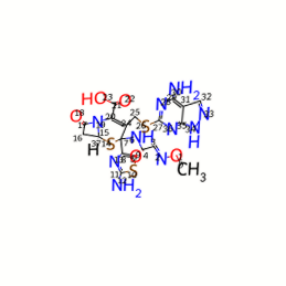 CON=CC(=O)NC1(c2csc(N)n2)S[C@H]2CC(=O)N2C(C(=O)O)=C1CSc1nc(N)c2cn[nH]c2n1